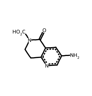 Nc1cnc2c(c1)C(=O)N(C(=O)O)CC2